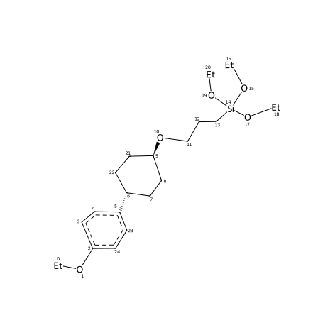 CCOc1ccc([C@H]2CC[C@H](OCCC[Si](OCC)(OCC)OCC)CC2)cc1